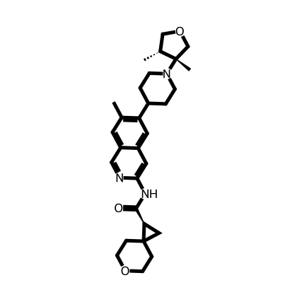 Cc1cc2cnc(NC(=O)[C@H]3CC34CCOCC4)cc2cc1C1CCN([C@@]2(C)COC[C@H]2C)CC1